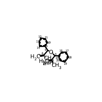 C=C(C)C(OC(C(=C)C)c1ccccc1)c1ccccc1.[NaH]